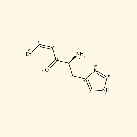 CC/C=C\C(=O)[C@@H](N)Cc1c[nH]cn1